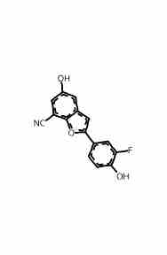 N#Cc1cc(O)cc2cc(-c3ccc(O)c(F)c3)oc12